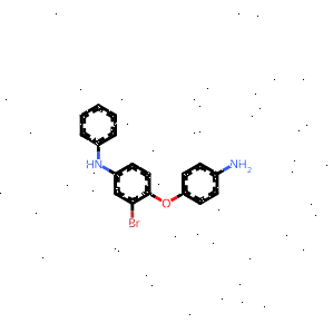 Nc1ccc(Oc2ccc(Nc3ccccc3)cc2Br)cc1